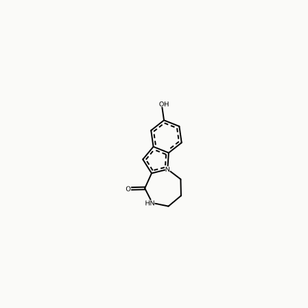 O=C1NCCCn2c1cc1cc(O)ccc12